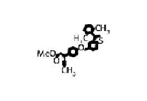 CC#C[C@@H](CC(=O)OC)c1ccc(OCc2ccc3scc(-c4c(C)cccc4C)c3c2)cc1